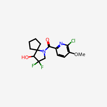 COc1ccc(C(=O)N2CC(F)(F)C(O)C23CCCC3)nc1Cl